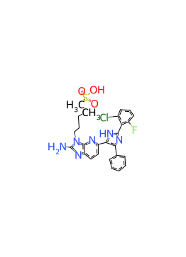 CCCCn1c(N)nc2ccc(-c3[nH]c(-c4c(F)cccc4Cl)nc3-c3ccccc3)nc21.CS(=O)(=O)O